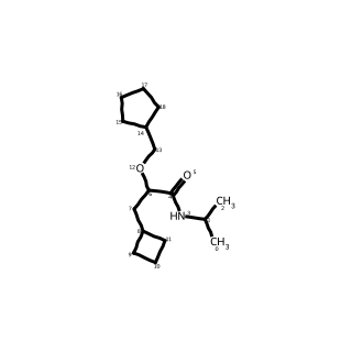 CC(C)NC(=O)C(CC1CCC1)OCC1CCCC1